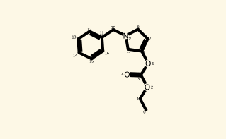 CCOC(=O)OC1=CCN(Cc2ccccc2)C1